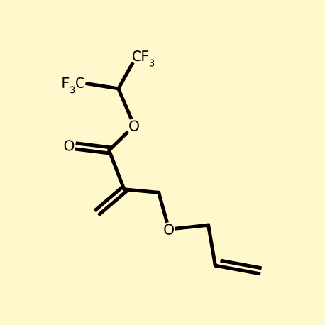 C=CCOCC(=C)C(=O)OC(C(F)(F)F)C(F)(F)F